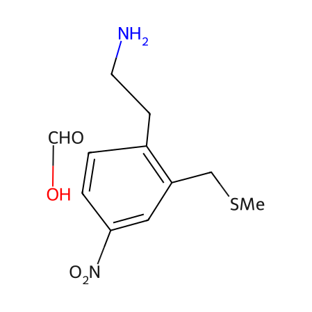 CSCc1cc([N+](=O)[O-])ccc1CCN.O=CO